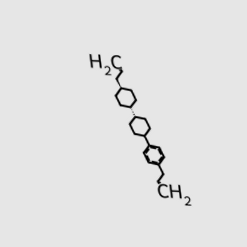 C=CCc1ccc(C2CCC([C@H]3CC[C@H](CC=C)CC3)CC2)cc1